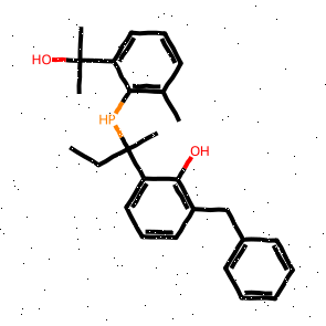 CCC(C)(Pc1c(C)cccc1C(C)(C)O)c1cccc(Cc2ccccc2)c1O